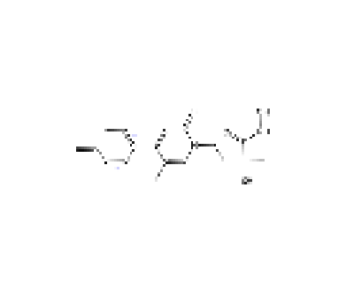 C=C/C=C\C(=C/C)c1cc(=O)n(CCC(C)(S)C(=O)NO)cc1F